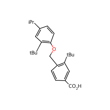 CC(C)c1ccc(OCc2ccc(C(=O)O)cc2C(C)(C)C)c(C(C)(C)C)c1